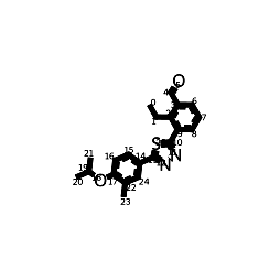 CCc1c(C=O)cccc1-c1nnc(-c2ccc(OC(C)C)c(C)c2)s1